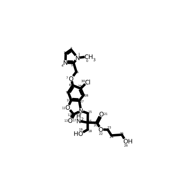 Cn1ccnc1COc1cc2oc(=O)n(CC(N)(CO)C(=O)OCCCO)c2cc1Cl